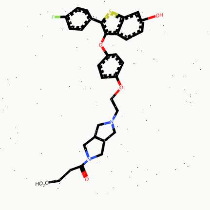 O=C(O)CCC(=O)N1CC2CN(CCOc3ccc(Oc4c(-c5ccc(F)cc5)sc5cc(O)ccc45)cc3)CC2C1